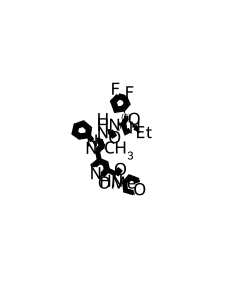 CCN1C[C@@H](NC(=O)Nc2c(C)c(-c3cnc(OC)c(C(=O)NC4CCOCC4)c3)nn2-c2ccccc2)[C@H](c2ccc(F)c(F)c2)O1